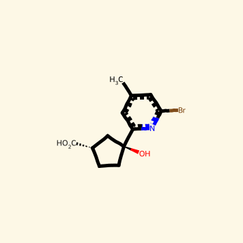 Cc1cc(Br)nc([C@]2(O)CC[C@H](C(=O)O)C2)c1